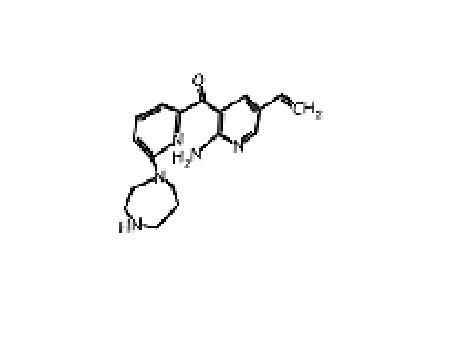 C=Cc1cnc(N)c(C(=O)c2cccc(N3CCCNCC3)n2)c1